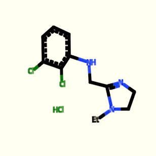 CCN1CCN=C1CNc1cccc(Cl)c1Cl.Cl